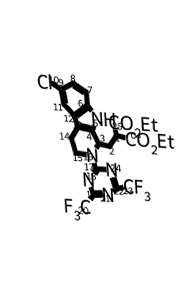 CCOC(=O)C(CC1c2[nH]c3ccc(Cl)cc3c2CCN1c1nc(C(F)(F)F)nc(C(F)(F)F)n1)C(=O)OCC